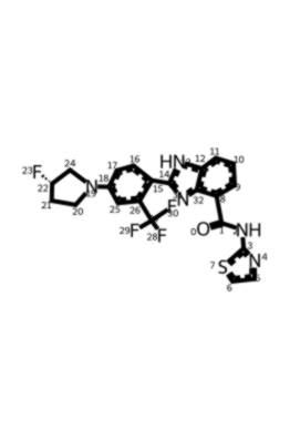 O=C(Nc1nccs1)c1cccc2[nH]c(-c3ccc(N4CC[C@H](F)C4)cc3C(F)(F)F)nc12